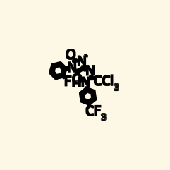 CN1C(=O)N(c2ccccc2F)C(=O)C1=NC(Nc1ccc(C(F)(F)F)cc1)C(Cl)(Cl)Cl